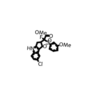 COC(=O)C(F)(C1Cc2[nH]c3ccc(Cl)cc3c2C1)S(=O)(=O)c1cccc(OC)c1